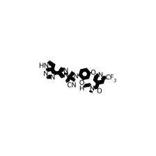 CN(CCO)C(=O)c1cc(O[C@H]2CC[C@@H](N3CC(CC#N)(n4cc(-c5ncnc6[nH]ccc56)cn4)C3)CC2)nc(C(F)(F)F)c1